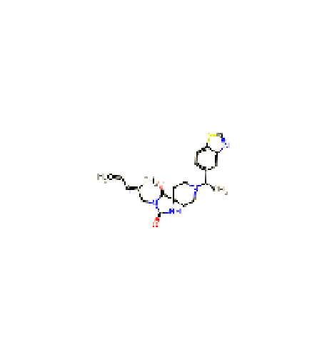 C=C/C=C(\C)CN1C(=O)NC2(CCN(C(C)c3ccc4scnc4c3)CC2)C1=O